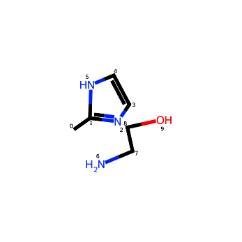 Cc1ncc[nH]1.NCCO